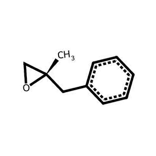 C[C@]1(Cc2ccccc2)CO1